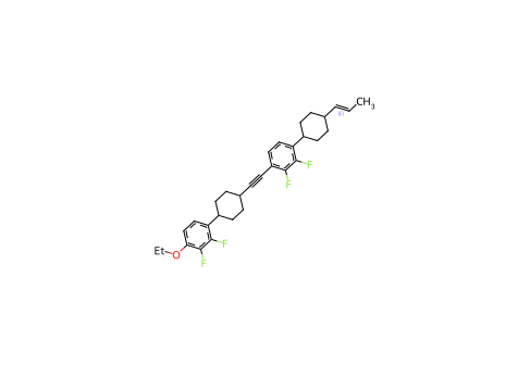 C/C=C/C1CCC(c2ccc(C#CC3CCC(c4ccc(OCC)c(F)c4F)CC3)c(F)c2F)CC1